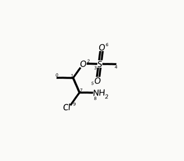 CC(OS(C)(=O)=O)C(N)Cl